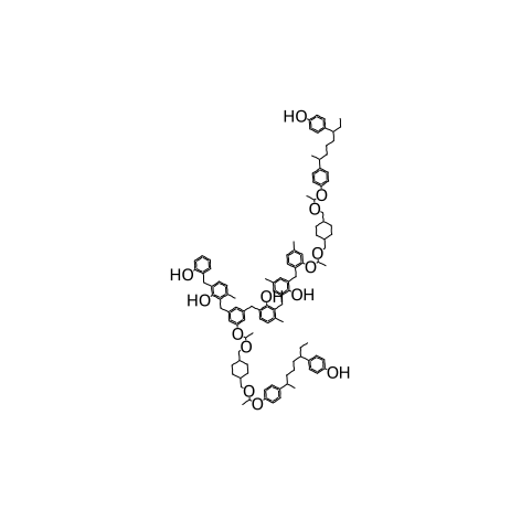 CCC(CCCC(C)c1ccc(OC(C)OCC2CCC(COC(C)Oc3cc(Cc4ccc(C)c(Cc5cc(C)cc(Cc6ccc(C)cc6OC(C)OCC6CCC(COC(C)Oc7ccc(C(C)CCCC(CC)c8ccc(O)cc8)cc7)CC6)c5O)c4O)cc(Cc4c(C)ccc(Cc5ccccc5O)c4O)c3)CC2)cc1)c1ccc(O)cc1